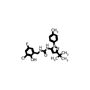 Cc1ccc(-n2nc(C(C)(C)C)cc2NC(=O)NCc2cc(F)cc(Cl)c2O)cc1